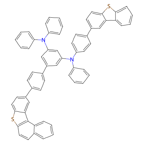 c1ccc(N(c2ccccc2)c2cc(-c3ccc(-c4ccc5sc6ccc7ccccc7c6c5c4)cc3)cc(N(c3ccccc3)c3ccc(-c4ccc5sc6ccccc6c5c4)cc3)c2)cc1